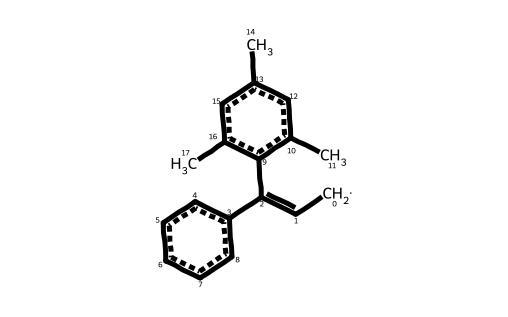 [CH2]C=C(c1ccccc1)c1c(C)cc(C)cc1C